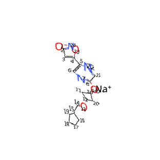 [Na+].[O-]c1cc(-c2cnc(O[C@H]3C[C@@H](OCC4CCCC4)C3)cn2)on1